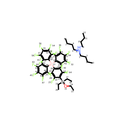 CCCC[NH+](CCCC)CCCC.CCO[Si](CC)(CC)c1c(F)c(F)c([B-](c2c(F)c(F)c(F)c(F)c2F)(c2c(F)c(F)c(F)c(F)c2F)c2c(F)c(F)c(F)c(F)c2F)c(F)c1F